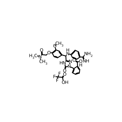 COc1cc(C(Nc2ccc(C(=N)N)cc2)c2nn(-c3ccccc3C(=O)O)c(=O)[nH]2)ccc1OCC(=O)N(C)C.O=C(O)C(F)(F)F